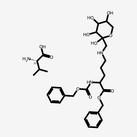 CC(C)[C@H](N)C(=O)O.O=C(NC(CCCNCC1(O)OCC(O)C(O)C1O)C(=O)OCc1ccccc1)OCc1ccccc1